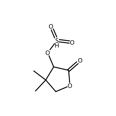 CC1(C)COC(=O)C1O[SH](=O)=O